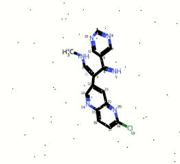 CN/C=C(\C(=N)c1cncnc1)c1cnc2ccc(Cl)nc2c1